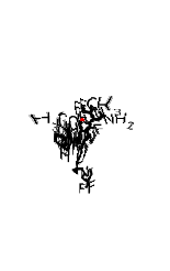 Cc1nc(N)cc(-c2nc3c4c(nc(OCC5(CN6CCC(C(F)F)C6)CC5)nc4c2F)N2C[C@H]4CC[C@H](N4)[C@H]2[C@H](C)O3)c1C(F)(F)F